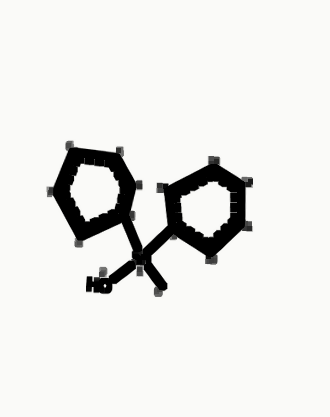 [CH3][Sn]([OH])([c]1ccccc1)[c]1ccccc1